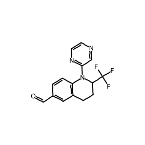 O=Cc1ccc2c(c1)CCC(C(F)(F)F)N2c1cnccn1